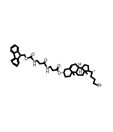 CC(C)CCC[C@@H](C)C1CC[C@H]2[C@@H]3CC=C4C[C@@H](OC(=O)CCNC(=O)CCNC(=O)OCC5c6ccccc6-c6ccccc65)CCC4(C)C3CCC12C